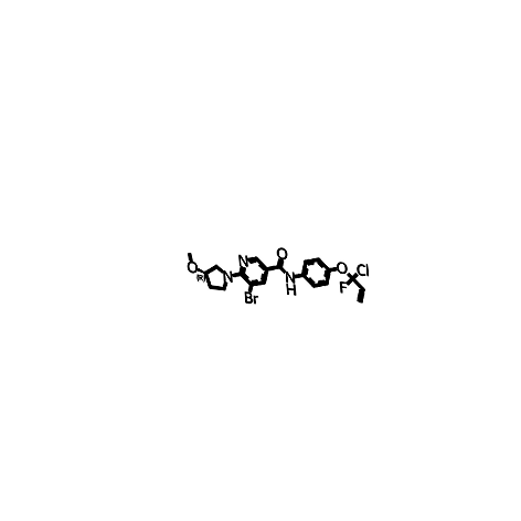 C=CC(F)(Cl)Oc1ccc(NC(=O)c2cnc(N3CC[C@@H](OC)C3)c(Br)c2)cc1